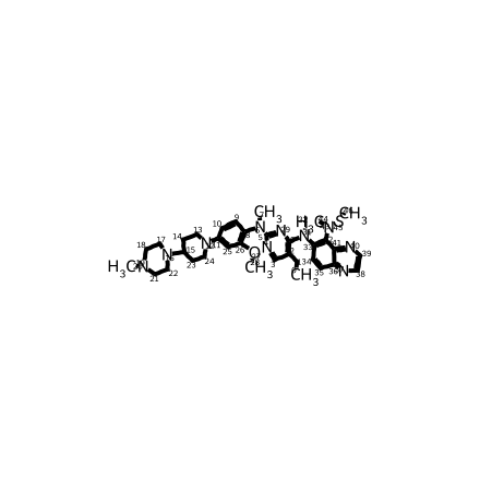 CCc1cnc(N(C)c2ccc(N3CCC(N4CCN(C)CC4)CC3)cc2OC)nc1N(I)c1ccc2nccnc2c1N(C)SC